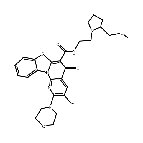 COCC1CCCN1CCNC(=O)c1c(=O)c2cc(F)c(N3CCOCC3)nc2n2c1sc1ccccc12